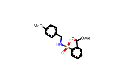 COC(=O)c1ccccc1S(=O)(=O)NCc1ccc(OC)cc1